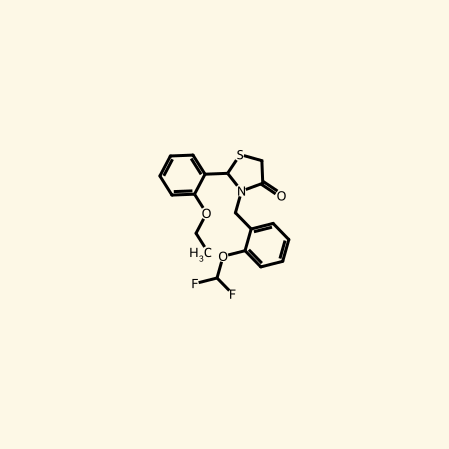 CCOc1ccccc1C1SCC(=O)N1Cc1ccccc1OC(F)F